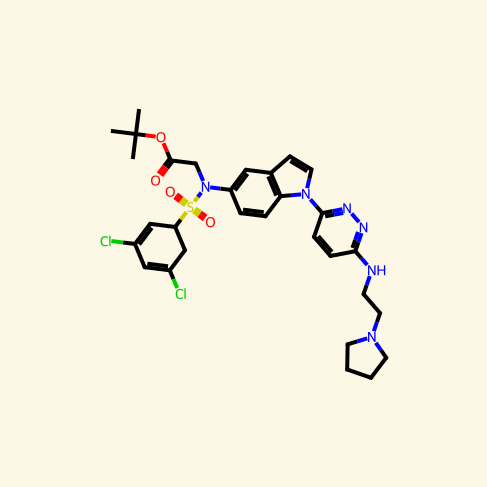 CC(C)(C)OC(=O)CN(c1ccc2c(ccn2-c2ccc(NCCN3CCCC3)nn2)c1)S(=O)(=O)C1C=C(Cl)C=C(Cl)C1